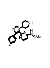 CSNc1ccnc(-c2c(-c3ccc(F)cc3)ncn2C2CCNCC2)n1